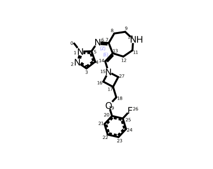 Cn1nccc1/N=C1/CCNCC/C1=C\N1CC(COc2ccccc2F)C1